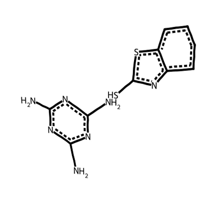 Nc1nc(N)nc(N)n1.Sc1nc2ccccc2s1